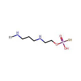 CCNCCCNCCOP(=O)(O)S